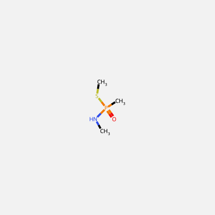 CNP(C)(=O)SC